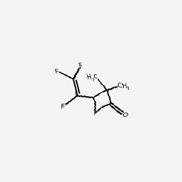 CC1(C)C(=O)CC1C(F)=C(F)F